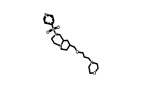 O=S(=O)(c1ccncc1)N1CCN2CCC(COCCCN3CCOCC3)CC2C1